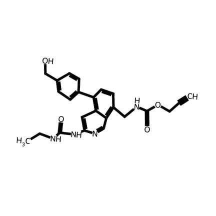 C#CCOC(=O)NCc1ccc(-c2ccc(CO)cc2)c2cc(NC(=O)NCC)ncc12